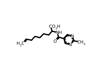 C=CCCCCCC(NC(=O)c1cnc(C)nc1)C(=O)O